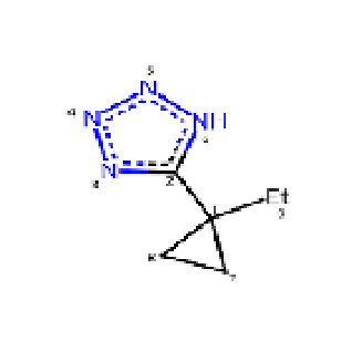 CCC1(c2nnn[nH]2)CC1